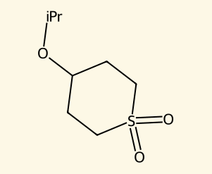 CC(C)OC1CCS(=O)(=O)CC1